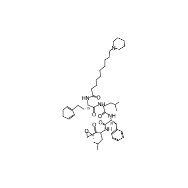 CC(C)CC(NC(=O)[C@H](CCc1ccccc1)NC(=O)CCCCCCCCCN1CCCCC1)C(=O)N[C@@H](Cc1ccccc1)C(=O)NC(CC(C)C)C(=O)[C@@]1(C)CO1